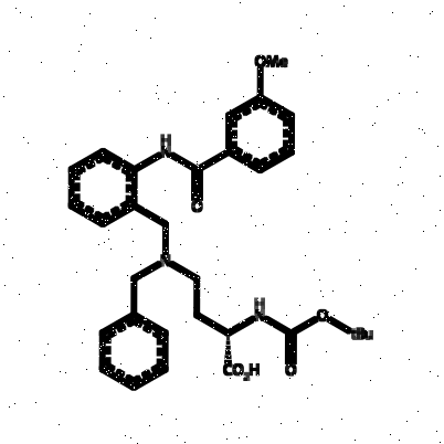 COc1cccc(C(=O)Nc2ccccc2CN(CC[C@H](NC(=O)OC(C)(C)C)C(=O)O)Cc2ccccc2)c1